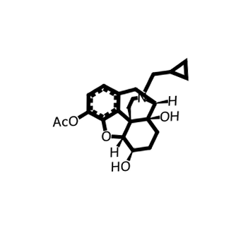 CC(=O)Oc1ccc2c3c1O[C@H]1[C@H](O)CC[C@@]4(O)[C@@H](C2)N(CC2CC2)CC[C@]314